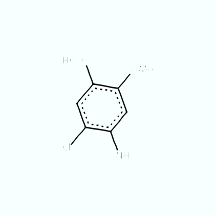 COc1cc([NH])c(Cl)cc1C(=O)O